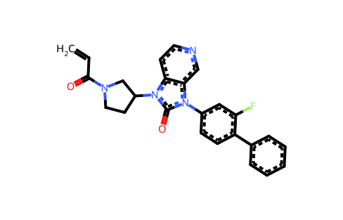 C=CC(=O)N1CCC(n2c(=O)n(-c3ccc(-c4ccccc4)c(F)c3)c3cnccc32)C1